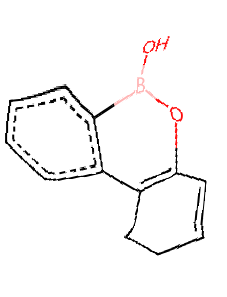 OB1OC2=C(CCC=C2)c2ccccc21